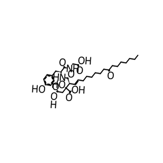 CCCCCCCC(=O)CCCCCC/C=C/[C@H](C(=O)N[C@@H](Cc1ccc(O)cc1)C(=O)NCC(=O)O)[C@@](O)(CC(=O)O)C(=O)O